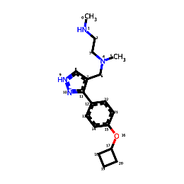 CNCCN(C)Cc1c[nH]nc1-c1ccc(OC2CCC2)cc1